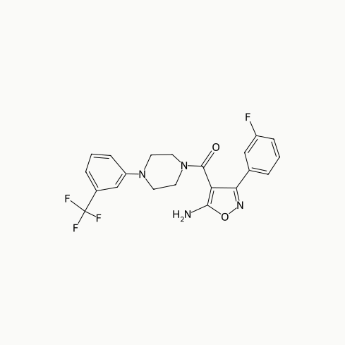 Nc1onc(-c2cccc(F)c2)c1C(=O)N1CCN(c2cccc(C(F)(F)F)c2)CC1